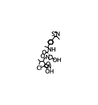 Cc1ncsc1-c1ccc(C(C)NC(=O)[C@@H]2C[C@@H](O)CN2C(=O)C(c2onc(O)c2Cl)C(C)C)cc1